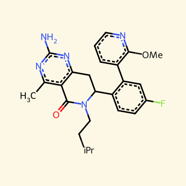 COc1ncccc1-c1cc(F)ccc1C1Cc2nc(N)nc(C)c2C(=O)N1CCC(C)C